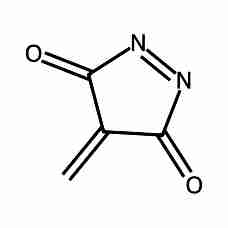 C=C1C(=O)N=NC1=O